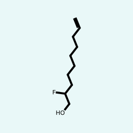 C=CCCCCCCC(F)CO